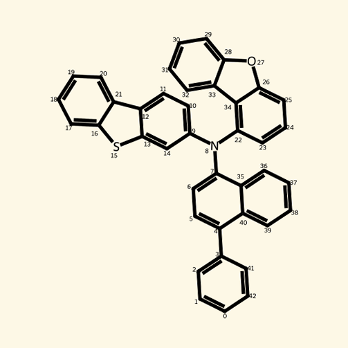 c1ccc(-c2ccc(N(c3ccc4c(c3)sc3ccccc34)c3cccc4oc5ccccc5c34)c3ccccc23)cc1